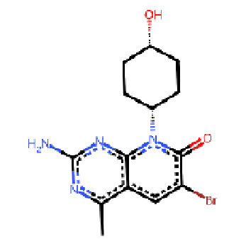 Cc1nc(N)nc2c1cc(Br)c(=O)n2[C@H]1CC[C@@H](O)CC1